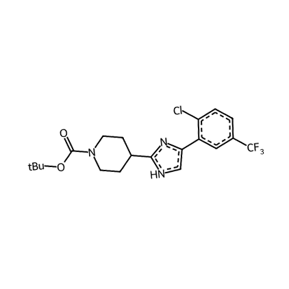 CC(C)(C)OC(=O)N1CCC(c2nc(-c3cc(C(F)(F)F)ccc3Cl)c[nH]2)CC1